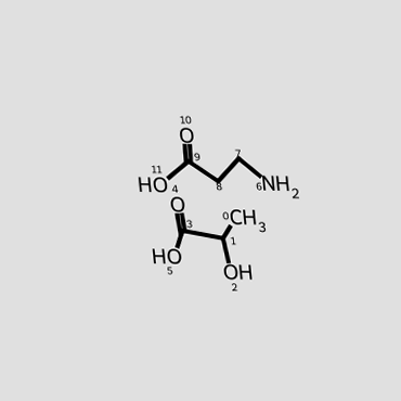 CC(O)C(=O)O.NCCC(=O)O